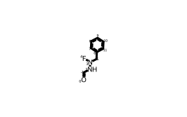 O=[C]NN(F)Cc1ccccc1